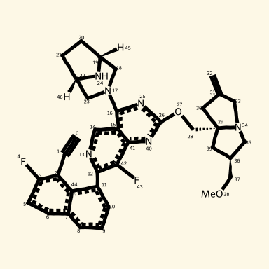 C#Cc1c(F)ccc2cccc(-c3ncc4c(N5C[C@H]6CC[C@@H](C5)N6)nc(OC[C@]56CC(=C)CN5C[C@@H](COC)C6)nc4c3F)c12